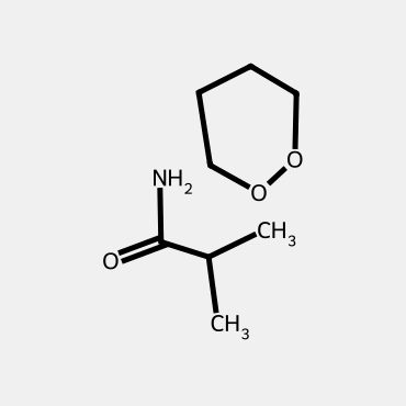 C1CCOOC1.CC(C)C(N)=O